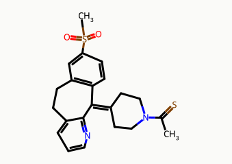 CC(=S)N1CCC(=C2c3ccc(S(C)(=O)=O)cc3CCc3cccnc32)CC1